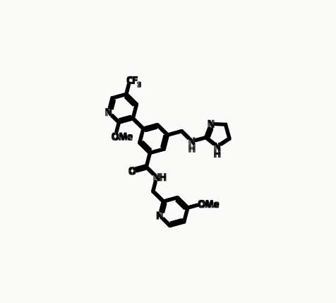 COc1ccnc(CNC(=O)c2cc(CNC3=NCCN3)cc(-c3cc(C(F)(F)F)cnc3OC)c2)c1